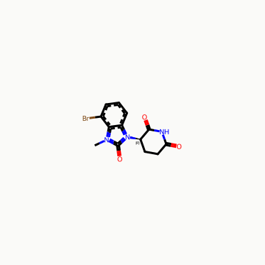 Cn1c(=O)n([C@@H]2CCC(=O)NC2=O)c2cccc(Br)c21